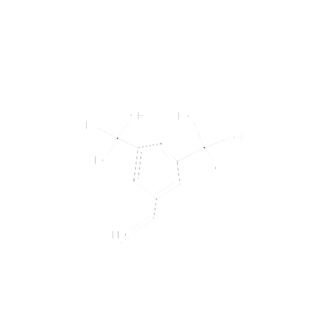 C=Cc1cc(C(C)(C)O)cc(C(O)(C(F)(F)F)C(F)(F)F)c1